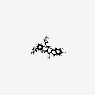 CC(=O)N1CC(Oc2ccc(S(F)(F)(F)(F)F)cc2NC(=O)N[C@@H]2Cc3ccccc3[C@@H]2O)C1